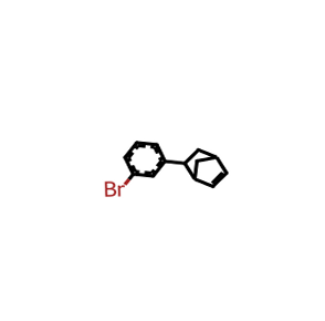 Brc1cccc(C2CC3C=CC2C3)c1